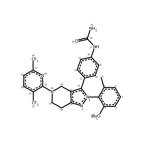 Cc1cccc(OCC(C)C)c1-n1nc2c(c1-c1ccc(NC(N)=O)cc1)CN(c1nc(C(F)(F)F)ccc1C(F)(F)F)CC2